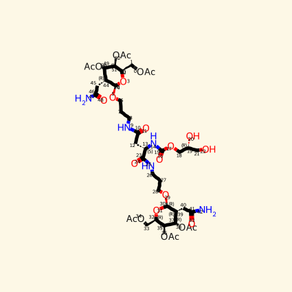 CC(=O)OC[C@H]1O[C@@H](OCCCNC(=O)C[C@H](NC(=O)OC[C@H](O)CO)C(=O)NCCCO[C@@H]2O[C@H](COC(C)=O)[C@H](OC(C)=O)[C@H](OC(C)=O)[C@H]2CC(N)=O)[C@H](CC(N)=O)[C@@H](OC(C)=O)[C@H]1OC(C)=O